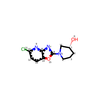 O[C@@H]1CCCN(c2nc3nc(Cl)ccc3o2)C1